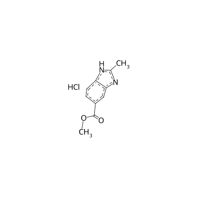 COC(=O)c1ccc2[nH]c(C)nc2c1.Cl